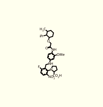 COc1cc(NCc2c(F)ccc([N+](=O)[O-])c2N2CCCC2C(=O)O)ccc1NC(=O)COC1CCCC(C)C1C(C)C